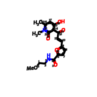 COCCNC(=O)c1ccc(/C=C/C(=O)c2c(O)cc(C)n(C)c2=O)o1